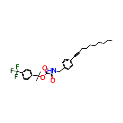 CCCCCCCCC#Cc1ccc(CNC(=O)C(=O)OC(C)(C)c2ccc(C(F)(F)F)cc2)cc1